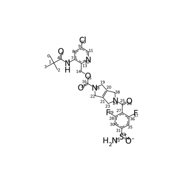 CC(C)(C)C(=O)Nc1cc(Cl)cnc1COC(=O)N1CC2=C(C1)CN(C(=O)c1c(F)cc([S+](N)[O-])cc1F)C2